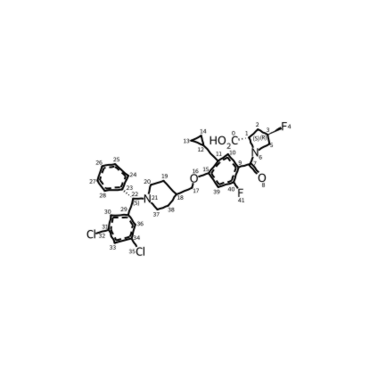 O=C(O)[C@@H]1C[C@@H](F)CN1C(=O)c1cc(C2CC2)c(OCC2CCN([C@@H](c3ccccc3)c3cc(Cl)cc(Cl)c3)CC2)cc1F